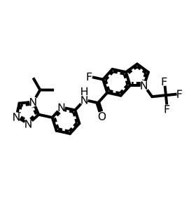 CC(C)n1cnnc1-c1cccc(NC(=O)c2cc3c(ccn3CC(F)(F)F)cc2F)n1